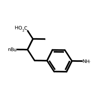 CCCCC(Cc1ccc([NH])cc1)C(C)C(=O)O